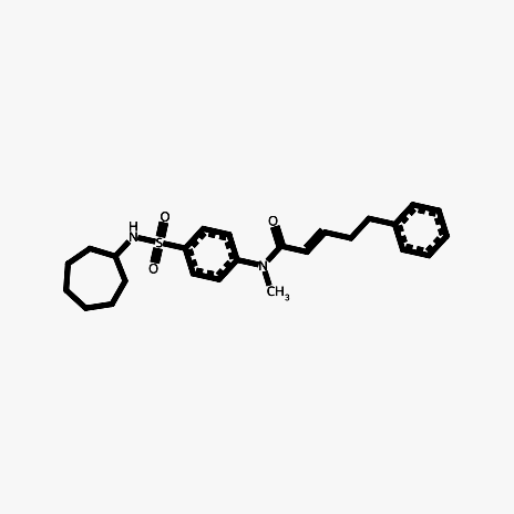 CN(C(=O)/C=C/CCc1ccccc1)c1ccc(S(=O)(=O)NC2CCCCCC2)cc1